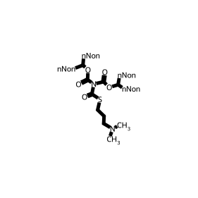 CCCCCCCCCC(CCCCCCCCC)OC(=O)N(C(=O)OC(CCCCCCCCC)CCCCCCCCC)C(=O)SCCCN(C)C